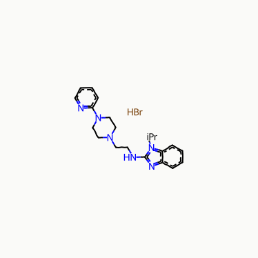 Br.CC(C)n1c(NCCN2CCN(c3ccccn3)CC2)nc2ccccc21